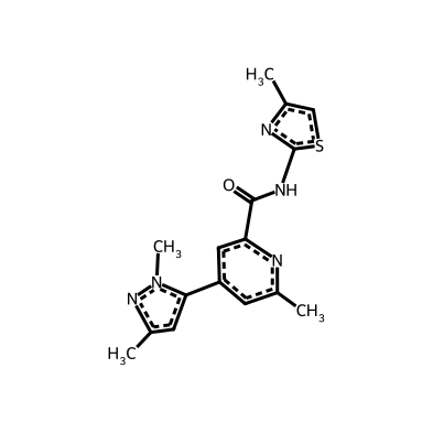 Cc1cc(-c2cc(C)nn2C)cc(C(=O)Nc2nc(C)cs2)n1